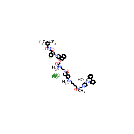 CN(CCN1CCC(N(C(=O)O)c2ccccc2-c2ccccc2)CC1)C(=O)CCCCCN(C)c1ccc2c(c1)CCN(CCCN(C)C(=O)CO[C@H]1Cc3ccccc3C13CCN(CC[C@]1(c4ccc(F)cc4)CN(C(=O)c4cc(C(F)(F)F)cc(C(F)(F)F)c4)CO1)CC3)C2=O.Cl.Cl.Cl